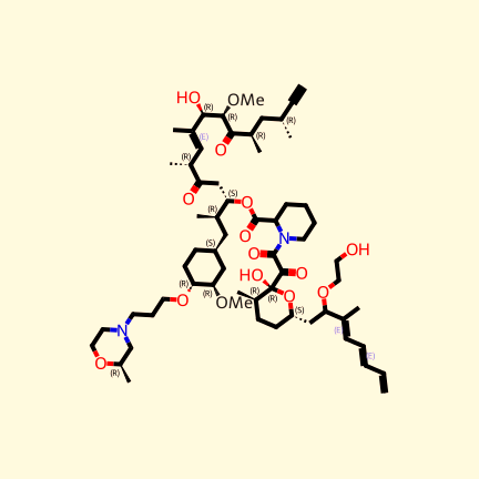 C#C[C@H](C)C[C@@H](C)C(=O)[C@H](OC)[C@H](O)/C(C)=C/[C@@H](C)C(=O)C[C@H](OC(=O)C1CCCCN1C(=O)C(=O)[C@]1(O)O[C@H](CC(OCCO)/C(C)=C/C=C/C=C)CC[C@H]1C)[C@H](C)C[C@@H]1CC[C@@H](OCCCN2CCO[C@H](C)C2)[C@H](OC)C1